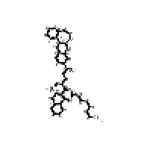 C=C/C(=C\C=C(/C)c1ccc2cc3c(nc2c1)CC=Cc1ccccc1-3)c1nc(/C=C/C=C\C=C/C)nc2c1ccc1ccccc12